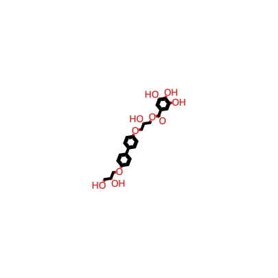 O=C(OCC(O)COc1ccc(-c2ccc(OCC(O)CO)cc2)cc1)c1cc(O)c(O)c(O)c1